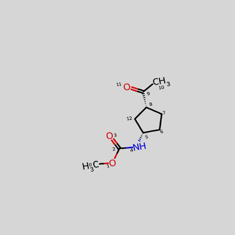 COC(=O)N[C@H]1CC[C@@H](C(C)=O)C1